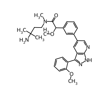 COc1ccccc1-c1n[nH]c2ncc(-c3cccc(C(OC)C(=O)N(C)CCC(C)(C)N)c3)cc12